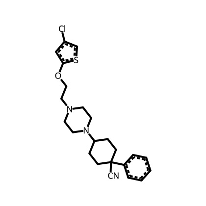 N#CC1(c2ccccc2)CCC(N2CCN(CCOc3cc(Cl)cs3)CC2)CC1